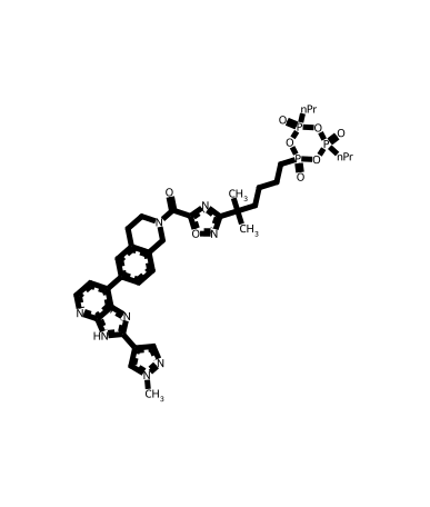 CCCP1(=O)OP(=O)(CCC)OP(=O)(CCCCC(C)(C)c2noc(C(=O)N3CCc4cc(-c5ccnc6[nH]c(-c7cnn(C)c7)nc56)ccc4C3)n2)O1